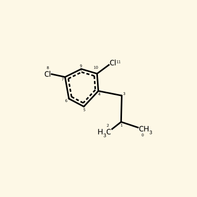 CC(C)Cc1ccc(Cl)[c]c1Cl